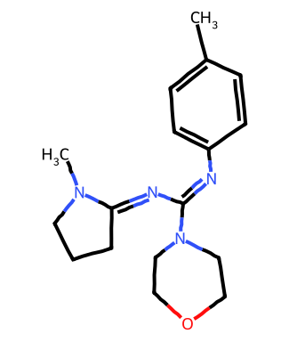 Cc1ccc(N=C(N=C2CCCN2C)N2CCOCC2)cc1